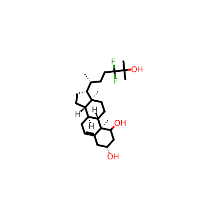 C[C@H](CCC(F)(F)C(C)(C)O)[C@H]1CC[C@H]2[C@@H]3CC=C4C[C@@H](O)CC(O)[C@]4(C)[C@H]3CC[C@]12C